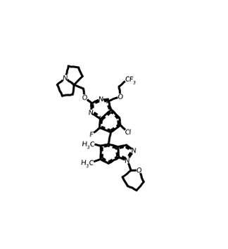 Cc1cc2c(cnn2C2CCCCO2)c(-c2c(Cl)cc3c(OCC(F)(F)F)nc(OCC45CCCN4CCC5)nc3c2F)c1C